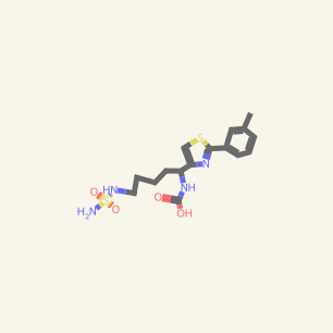 Cc1cccc(-c2nc(C(CCCCNS(N)(=O)=O)NC(=O)O)cs2)c1